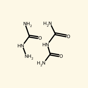 NC(=O)NC(N)=O.NNC(N)=O